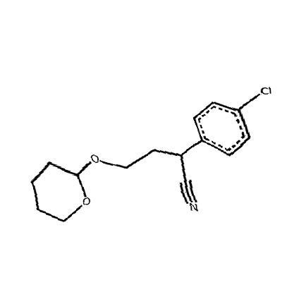 N#CC(CCOC1CCCCO1)c1ccc(Cl)cc1